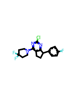 Fc1ccc(C2CCc3c2nc(Cl)nc3N2CCC(F)(F)CC2)cc1